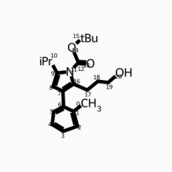 Cc1ccccc1-c1cc(C(C)C)n(C(=O)OC(C)(C)C)c1CCCO